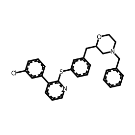 Clc1cccc(-c2cccnc2Sc2cccc(CC3CN(Cc4ccccc4)CCO3)c2)c1